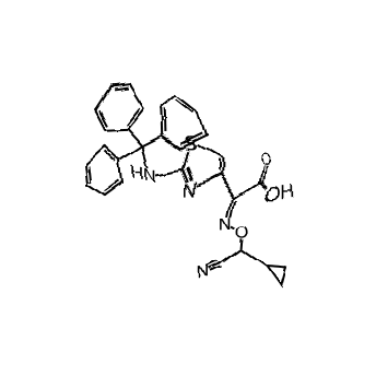 N#CC(ON=C(C(=O)O)c1csc(NC(c2ccccc2)(c2ccccc2)c2ccccc2)n1)C1CC1